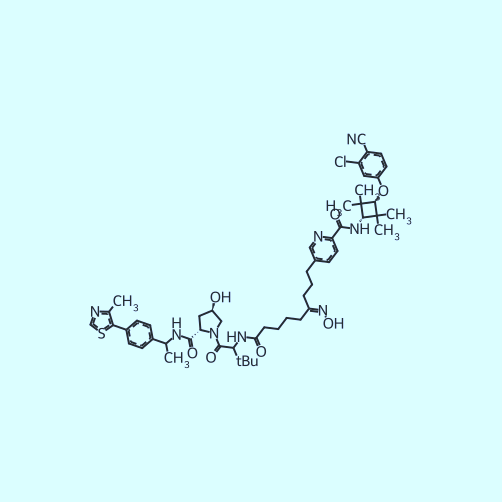 Cc1ncsc1-c1ccc(C(C)NC(=O)[C@@H]2C[C@@H](O)CN2C(=O)C(NC(=O)CCCC/C(CCCc2ccc(C(=O)N[C@H]3C(C)(C)[C@H](Oc4ccc(C#N)c(Cl)c4)C3(C)C)nc2)=N\O)C(C)(C)C)cc1